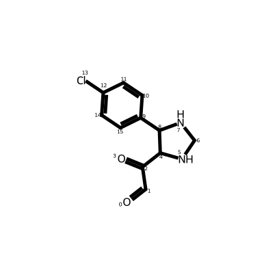 O=CC(=O)C1NCNC1c1ccc(Cl)cc1